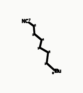 CCC(C)CCCCCCC#N